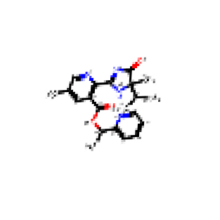 Cc1cnc(C2=NC(=O)C(C)(C(C)C)N2)c(C(=O)OC(C)c2ccccn2)c1